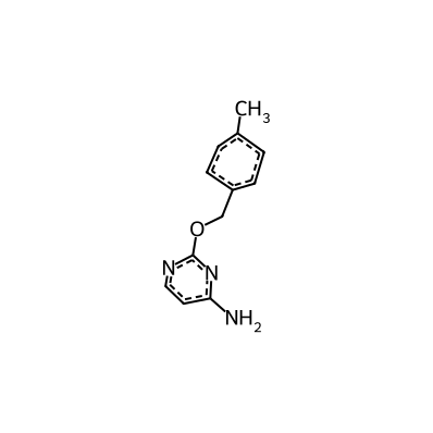 Cc1ccc(COc2nccc(N)n2)cc1